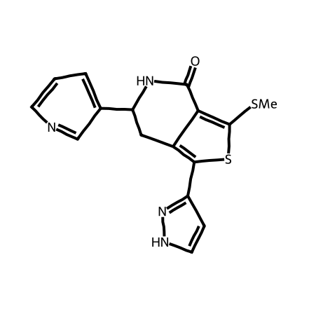 CSc1sc(-c2cc[nH]n2)c2c1C(=O)NC(c1cccnc1)C2